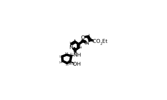 CCOC(=O)c1coc(-c2ccnc(N[C@H]3CCCC[C@@H]3O)c2)n1